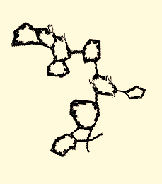 CC1(C)c2ccccc2-c2ccc(-c3nc(C4=CCC=C4)nc(-c4cccc(-c5nc6oc7ccccc7c6c6ccccc56)c4)n3)cc21